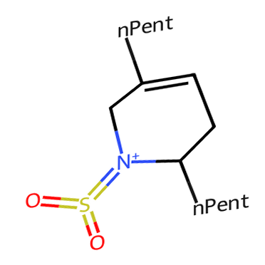 CCCCCC1=CCC(CCCCC)[N+](=S(=O)=O)C1